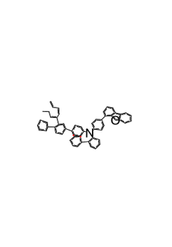 C=C/C=C\C(=C/CC)c1cc(-c2ccc(N(c3ccc(-c4cccc5c4oc4ccccc45)cc3)c3ccccc3-c3ccccc3)cc2)ccc1-c1ccccc1